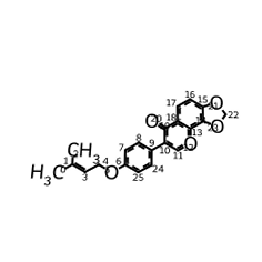 CC(C)=CCOc1ccc(-c2coc3c4c(ccc3c2=O)OCO4)cc1